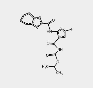 CC(C)OC(=O)NC(=O)c1cc(F)sc1NC(=O)c1nc2ccccc2s1